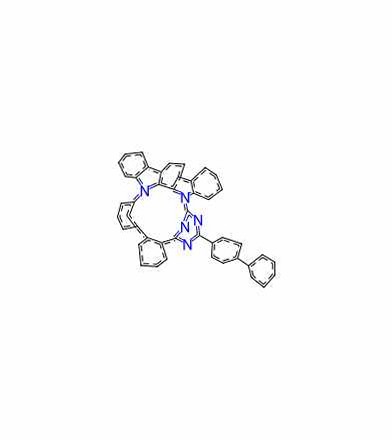 c1ccc(-c2ccc(-c3nc4nc(n3)n3c5ccccc5c5ccc6c7ccccc7n(c7cccc(c7)c7ccccc47)c6c53)cc2)cc1